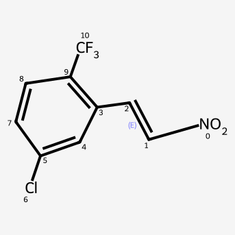 O=[N+]([O-])/C=C/c1cc(Cl)ccc1C(F)(F)F